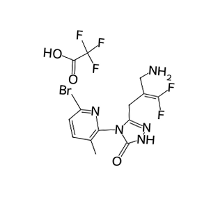 Cc1ccc(Br)nc1-n1c(CC(CN)=C(F)F)n[nH]c1=O.O=C(O)C(F)(F)F